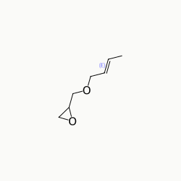 C/C=C/COCC1CO1